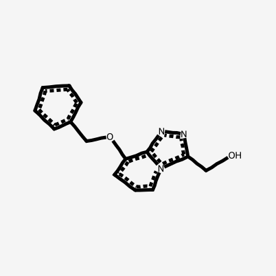 OCc1nnc2c(OCc3ccccc3)cccn12